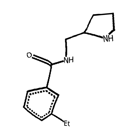 CCc1cccc(C(=O)NCC2CCCN2)c1